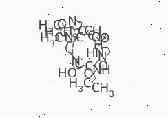 CCn1c(-c2cccnc2[C@H](C)OC)c2c3cc(ccc31)N1CC(=C[C@H](O)C1)C[C@H](NC(=O)CC(C)C)C(=O)N1CCC[C@H](N1)C(=O)OCC(C)(C)C2